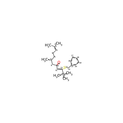 CC(C)=CCC[C@H](C)CC(=O)/C=C(\SCc1ccccc1)[Si](C)(C)C